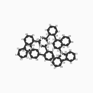 c1ccc(-c2ccccc2-c2nc(-c3ccccc3-c3ccc(-n4c5ccccc5c5ccccc54)c4ccccc34)nc(-c3cccc4c3sc3ccccc34)n2)cc1